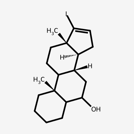 C[C@]12CCCCC1C(O)C[C@@H]1C2CC[C@]2(C)C(I)=CC[C@@H]12